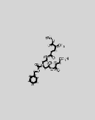 CC(CN(CCNC(=O)CC[C@H](C)C(=O)OC(C)(C)C)C(=O)OCc1ccccc1)OC(=O)CCC(=O)O